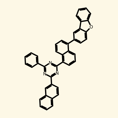 c1ccc(-c2nc(-c3ccc4ccccc4c3)nc(-c3cccc4c(-c5ccc6oc7ccccc7c6c5)cccc34)n2)cc1